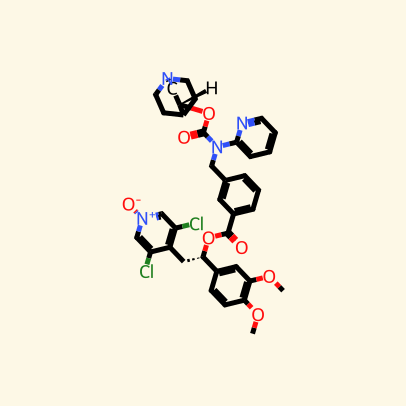 COc1ccc([C@H](Cc2c(Cl)c[n+]([O-])cc2Cl)OC(=O)c2cccc(CN(C(=O)O[C@H]3CN4CCC3CC4)c3ccccn3)c2)cc1OC